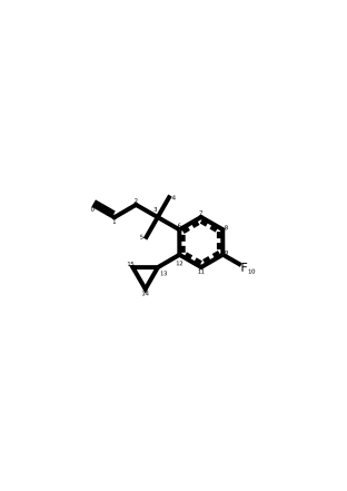 C=CCC(C)(C)c1ccc(F)cc1C1CC1